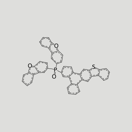 O=P(c1ccc2oc3ccccc3c2c1)(c1ccc2oc3ccccc3c2c1)c1ccc2c(c1)c1ccccc1c1cc3c(cc21)sc1ccccc13